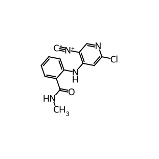 [C-]#[N+]c1cnc(Cl)cc1Nc1ccccc1C(=O)NC